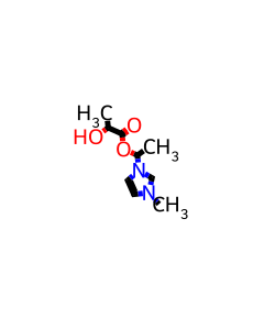 CC(O)C(=O)OC(C)N1C=CN(C)C1